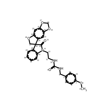 COc1ccc(CNC(=O)NCCN2C(=O)C3(COc4cc5c(cc43)OCO5)c3ccccc32)cc1